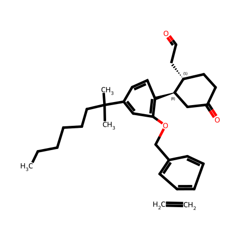 C=C.CCCCCCC(C)(C)c1ccc([C@@H]2CC(=O)CC[C@H]2CC=O)c(OCc2ccccc2)c1